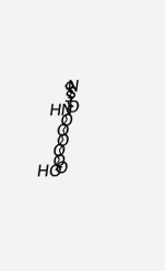 O=C(O)COC=COCCOCCOCCOCCNC(=O)CCSSc1ccccn1